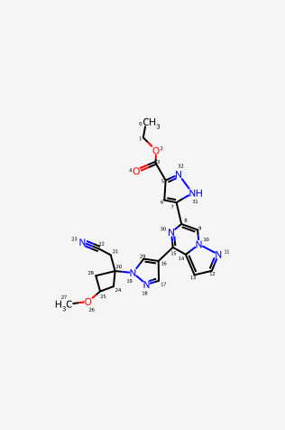 CCOC(=O)c1cc(-c2cn3nccc3c(-c3cnn(C4(CC#N)CC(OC)C4)c3)n2)[nH]n1